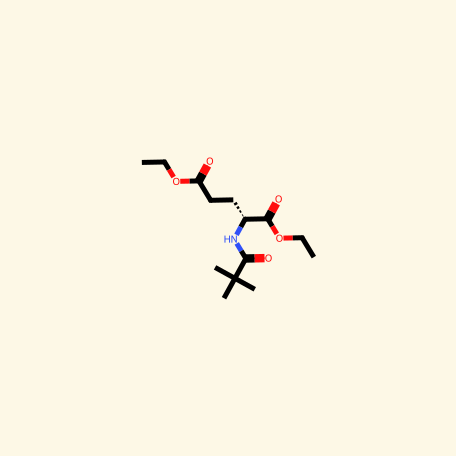 CCOC(=O)CC[C@@H](NC(=O)C(C)(C)C)C(=O)OCC